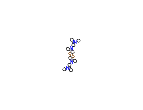 c1ccc(-n2c3ccccc3c3cc(-n4c5ccccc5c5c6c(ccc54)Sc4c(ccc5c4c4ccccc4n5-c4ccc5c(c4)c4ccccc4n5-c4ccccc4)S6)ccc32)cc1